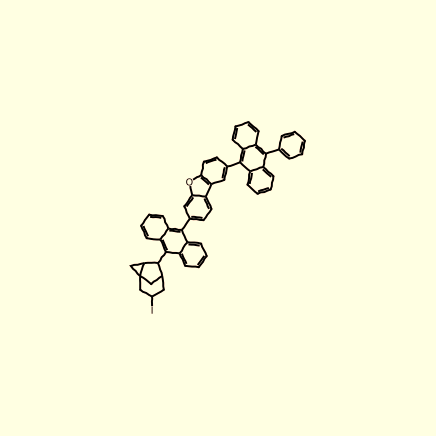 IC1CC2CC3(C1)CC3C2c1c2ccccc2c(-c2ccc3c(c2)oc2ccc(-c4c5ccccc5c(-c5ccccc5)c5ccccc45)cc23)c2ccccc12